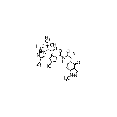 CC(Cn1cnc2c(cnn2C)c1=O)NC(=O)[C@@H]1C[C@@H](O)CN1C(=O)[C@@H](n1cc(C2CC2)nn1)C(C)(C)C